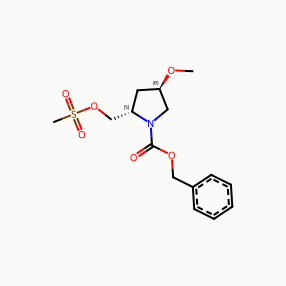 CO[C@@H]1C[C@@H](COS(C)(=O)=O)N(C(=O)OCc2ccccc2)C1